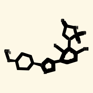 CO[C@H]1CC[C@@H](n2cc(-c3ccc(O)c(N4CC(=O)NS4(=O)=O)c3F)cn2)CC1